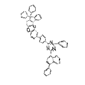 c1ccc(-c2nc(-c3ccc(-c4ccc5c(c4)Oc4c(ccc6c4-c4ccccc4C6(c4ccccc4)c4ccccc4)O5)cc3)nc(-c3ccc(-c4ccccc4)c4ccccc34)n2)cc1